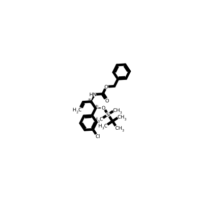 C=C[C@@H](NC(=O)OCc1ccccc1)[C@H](O[Si](C)(C)C(C)(C)C)c1cccc(Cl)c1